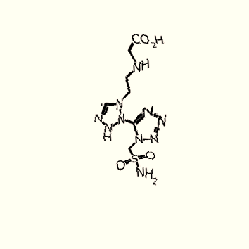 NS(=O)(=O)Cn1nnnc1N1NN=[C]N1CCNCC(=O)O